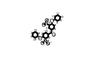 O=C(c1ccc(Oc2ccccc2)c([N+](=O)[O-])c1)c1ccc(Oc2ccccc2)c([N+](=O)[O-])c1